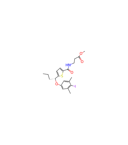 CCC[C@@H](Oc1cc(C)c(I)c(C)c1)c1ccc(C(=O)NCCC(=O)OC)s1